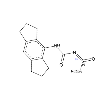 CC(=O)N/[SH](=O)=N\C(=O)Nc1c2c(cc3c1CCC3)CCC2